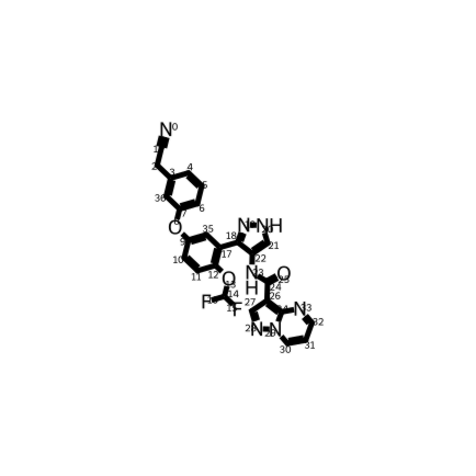 N#CCc1cccc(Oc2ccc(OC(F)F)c(-c3n[nH]cc3NC(=O)c3cnn4cccnc34)c2)c1